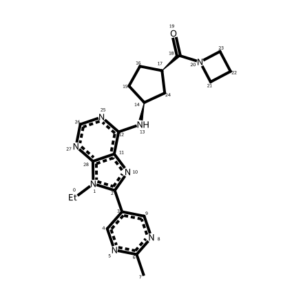 CCn1c(-c2cnc(C)nc2)nc2c(N[C@H]3CC[C@@H](C(=O)N4CCC4)C3)ncnc21